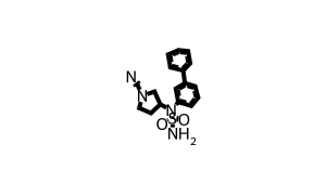 N#CN1CCC(N(c2cccc(-c3ccccc3)c2)S(N)(=O)=O)C1